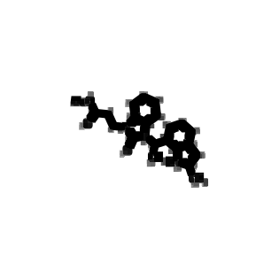 COC(=O)CCn1c(=O)n(C(C)c2cccc3cc(C)[nH]c23)c2ccccc21